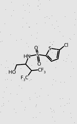 O=S(=O)(NC(CO)C(C(F)(F)F)C(F)(F)F)c1ccc(Cl)s1